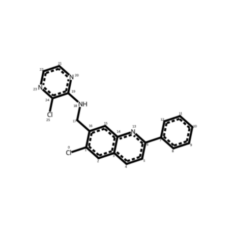 Clc1cc2ccc(-c3ccccc3)nc2cc1CNc1nccnc1Cl